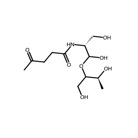 CC(=O)CCC(=O)N[C@H](CO)C(O)OC(CO)[C@H](C)O